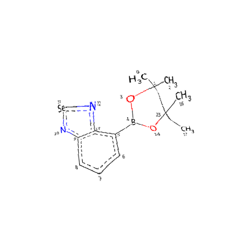 CC1(C)OB(c2cccc3n[se]nc23)OC1(C)C